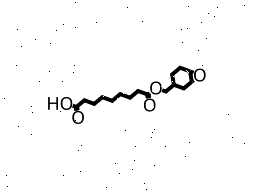 O=C(O)CCCCCCCC(=O)OCC1CCC2OC2C1